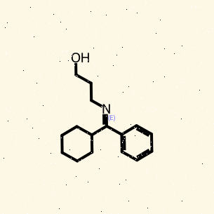 OCCC/N=C(/c1ccccc1)C1CCCCC1